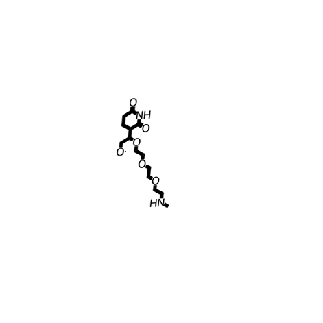 CNCCOCCOCCOC(C[O])C1CCC(=O)NC1=O